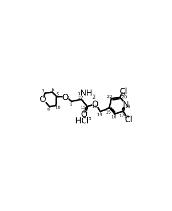 Cl.N[C@@H](COC1CCOCC1)C(=O)OCc1cc(Cl)nc(Cl)c1